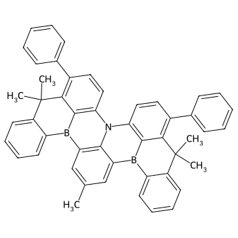 Cc1cc2c3c(c1)B1c4ccccc4C(C)(C)c4c(-c5ccccc5)ccc(c41)N3c1ccc(-c3ccccc3)c3c1B2c1ccccc1C3(C)C